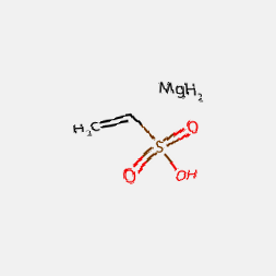 C=CS(=O)(=O)O.[MgH2]